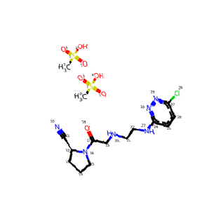 CS(=O)(=O)O.CS(=O)(=O)O.N#C[C@@H]1CCCN1C(=O)CNCCNc1ccc(Cl)nn1